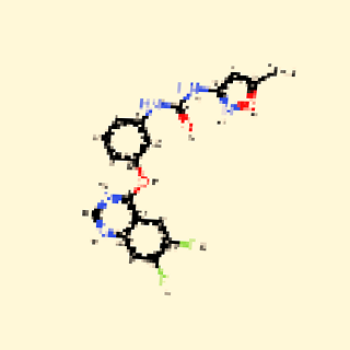 CC(C)(C)c1cc(NC(=O)Nc2cccc(Oc3ncnc4cc(F)c(F)cc34)c2)no1